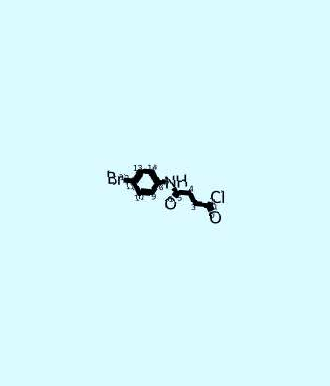 O=C(Cl)CCC(=O)Nc1ccc(Br)cc1